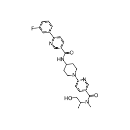 CC(CO)N(C)C(=O)c1ccc(N2CCC(NC(=O)c3ccc(-c4cccc(F)c4)nc3)CC2)nc1